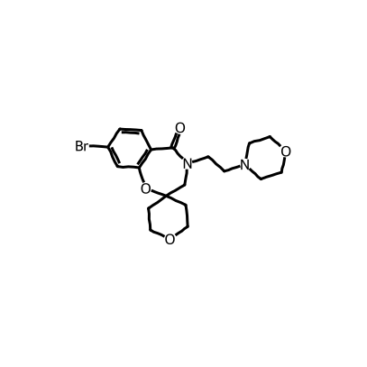 O=C1c2ccc(Br)cc2OC2(CCOCC2)CN1CCN1CCOCC1